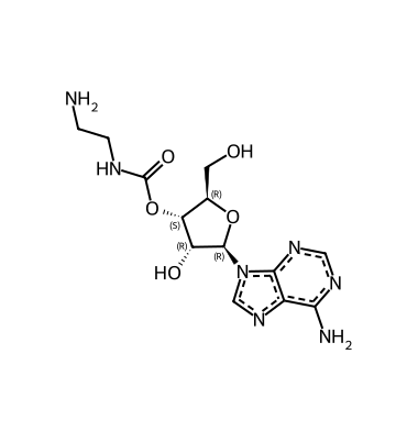 NCCNC(=O)O[C@H]1[C@@H](O)[C@H](n2cnc3c(N)ncnc32)O[C@@H]1CO